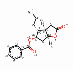 CC(=O)CC[C@@H]1[C@H]2CC(=O)O[C@H]2C[C@H]1OC(=O)c1ccccc1